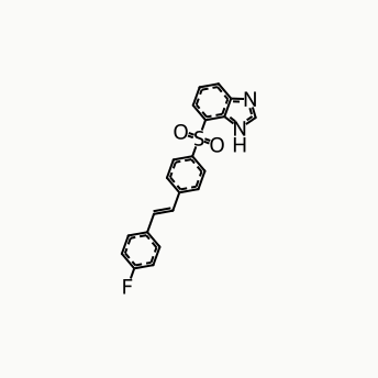 O=S(=O)(c1ccc(C=Cc2ccc(F)cc2)cc1)c1cccc2nc[nH]c12